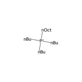 CCCCCCCC[P+](CCCC)(CCCC)CCCC